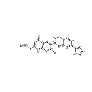 COCc1cc(=O)n2nc(N3CCc4ncc(-c5cccs5)cc4C3)c(C)cc2n1